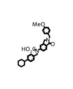 COc1ccc(CN2Cc3cc(N(Cc4ccc(C5CCCCC5)cc4)C(=O)O)ccc3C2=O)cc1